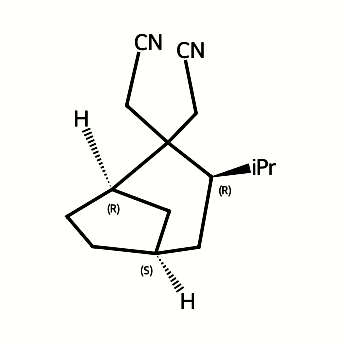 CC(C)[C@H]1C[C@H]2CC[C@H](C2)C1(CC#N)CC#N